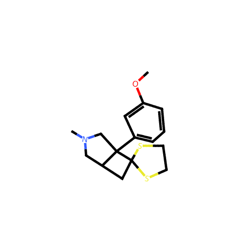 COc1cccc(C23CN(C)CC2CC32SCCS2)c1